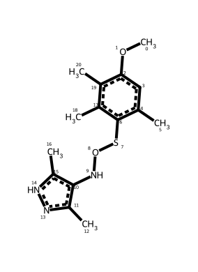 COc1cc(C)c(SONc2c(C)n[nH]c2C)c(C)c1C